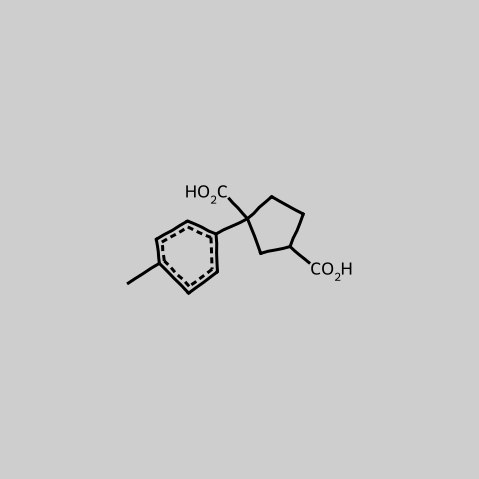 Cc1ccc(C2(C(=O)O)CCC(C(=O)O)C2)cc1